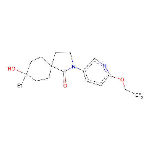 CCC1(O)CCC2(CCN(c3ccc(OCC(F)(F)F)nc3)C2=O)CC1